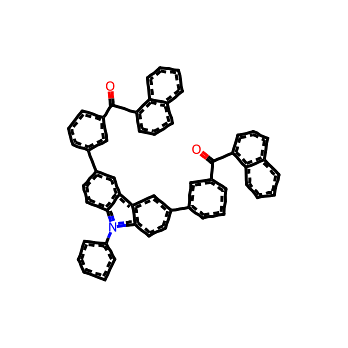 O=C(c1cccc(-c2ccc3c(c2)c2cc(-c4cccc(C(=O)c5cccc6ccccc56)c4)ccc2n3-c2ccccc2)c1)c1cccc2ccccc12